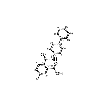 Cc1ccc(C(=O)Nc2ccc(-c3ccccc3)cc2)c(C(=O)O)c1